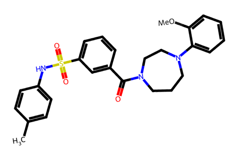 COc1ccccc1N1CCCN(C(=O)c2cccc(S(=O)(=O)Nc3ccc(C)cc3)c2)CC1